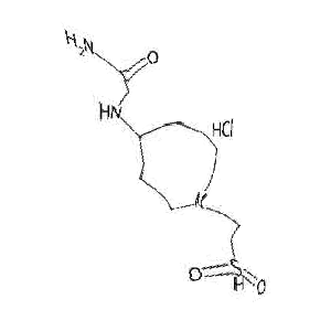 Cl.NC(=O)NC1CCN(C[SH](=O)=O)CC1